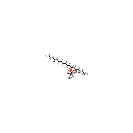 CCCCCCCCCCCCC(CCCCCCC)OC(=O)C(C)(C)C